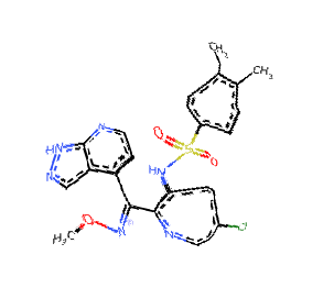 CO/N=C(/c1ncc(Cl)cc1NS(=O)(=O)c1ccc(C)c(C)c1)c1ccnc2[nH]ncc12